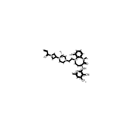 C=CC(=O)N1CC(N2CCN(CCN3CC[C@H](Nc4nc(C)cc(C(F)(F)F)c4C#N)C(=O)N(C)c4cccc(F)c43)C[C@H]2C)C1